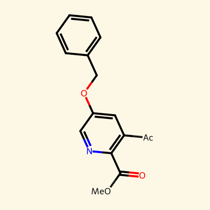 COC(=O)c1ncc(OCc2ccccc2)cc1C(C)=O